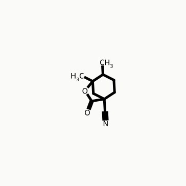 CC1CCC2(C#N)CC1(C)OC2=O